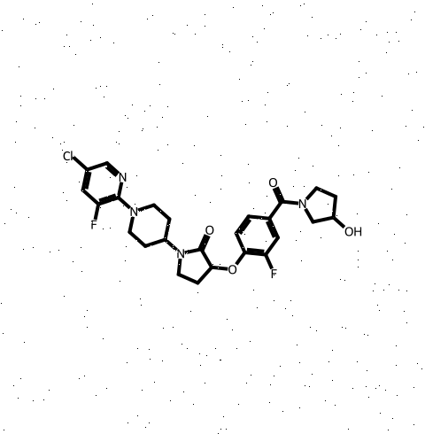 O=C(c1ccc(OC2CCN(C3CCN(c4ncc(Cl)cc4F)CC3)C2=O)c(F)c1)N1CCC(O)C1